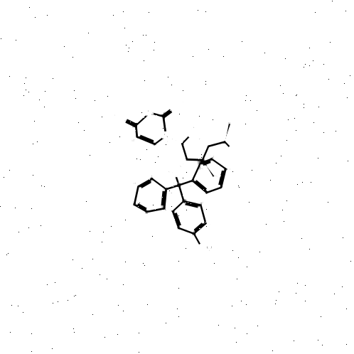 COc1ccc(C(O[C@H]2[C@H](C)[C@@H]([C@@H](C)O)O[C@H]2n2ccc(=O)[nH]c2=O)(c2ccccc2)c2ccccc2)cc1